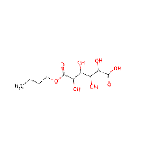 CCCCOC(=O)C(O)C(O)C(O)C(O)C(=O)O